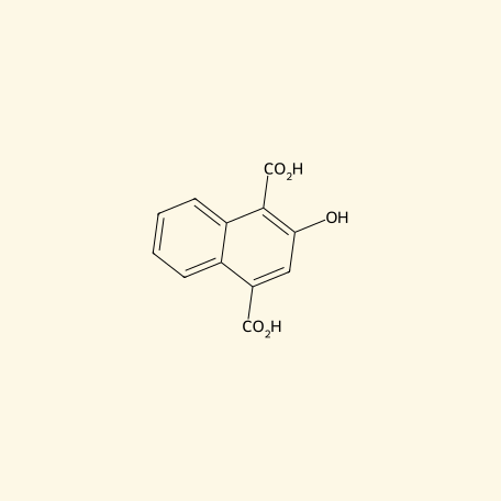 O=C(O)c1cc(O)c(C(=O)O)c2ccccc12